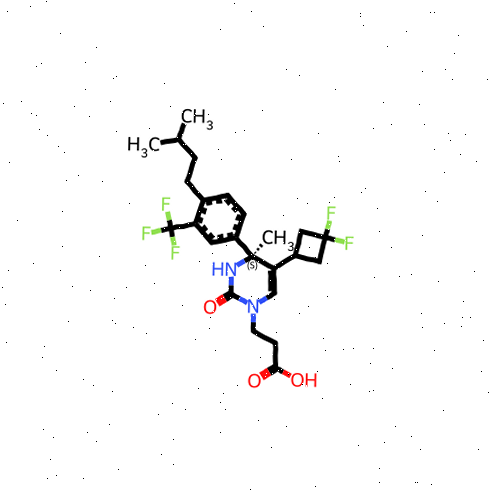 CC(C)CCc1ccc([C@]2(C)NC(=O)N(CCC(=O)O)C=C2C2CC(F)(F)C2)cc1C(F)(F)F